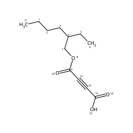 CCCCC(CC)COC(=O)C#CC(=O)O